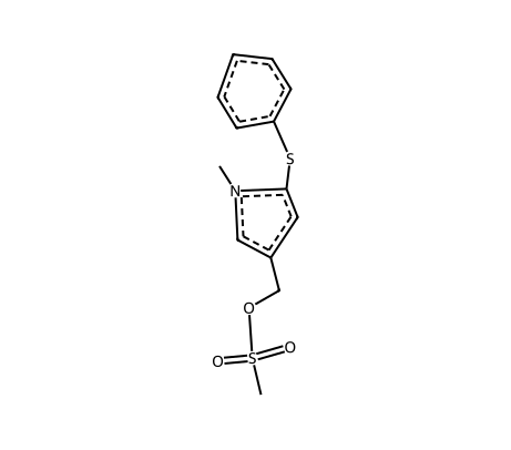 Cn1cc(COS(C)(=O)=O)cc1Sc1ccccc1